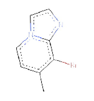 Cc1ccn2ccnc2c1Br